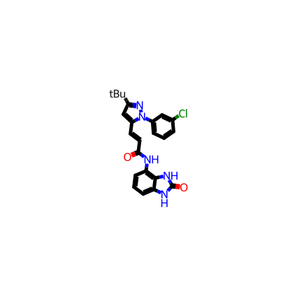 CC(C)(C)c1cc(/C=C/C(=O)Nc2cccc3[nH]c(=O)[nH]c23)n(-c2cccc(Cl)c2)n1